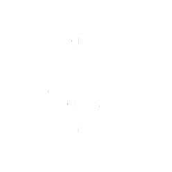 Cc1cccc(Cl)c1C=O.Clc1cccs1